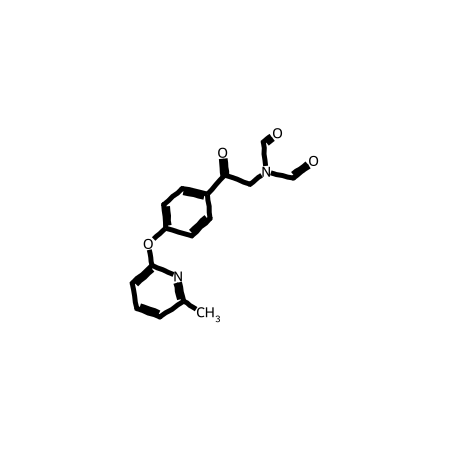 Cc1cccc(Oc2ccc(C(=O)CN(C=O)C=O)cc2)n1